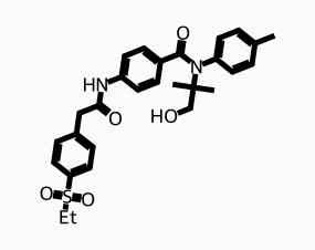 CCS(=O)(=O)c1ccc(CC(=O)Nc2ccc(C(=O)N(c3ccc(C)cc3)C(C)(C)CO)cc2)cc1